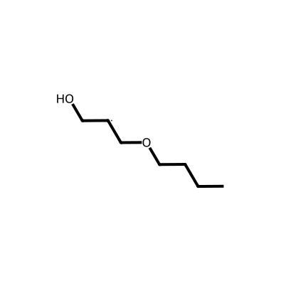 CCCCOC[CH]CO